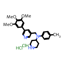 COc1cc(-c2cncc(CN(c3ccc(C)cc3)C3CCNCC3)c2)cc(OC)c1OC.Cl.Cl